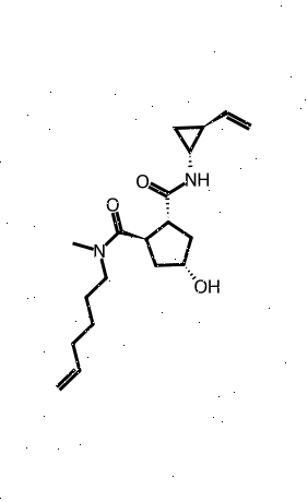 C=CCCCCN(C)C(=O)[C@@H]1C[C@@H](O)C[C@H]1C(=O)N[C@@H]1C[C@H]1C=C